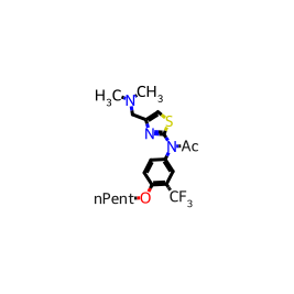 CCCCCOc1ccc(N(C(C)=O)c2nc(CN(C)C)cs2)cc1C(F)(F)F